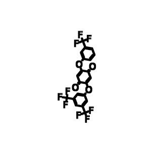 O=C1C=C(Oc2cc(C(F)(F)F)cc(C(F)(F)F)c2)C(=O)C=C1Oc1cccc(C(F)(F)F)c1